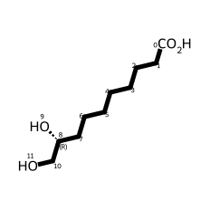 O=C(O)CCCCCCC[C@@H](O)CO